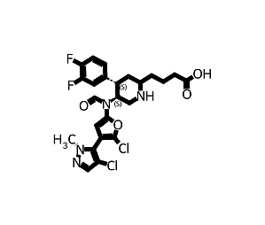 Cn1ncc(Cl)c1-c1cc(N(C=O)[C@@H]2CNC(CCCC(=O)O)C[C@H]2c2ccc(F)c(F)c2)oc1Cl